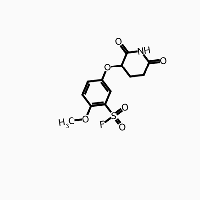 COc1ccc(OC2CCC(=O)NC2=O)cc1S(=O)(=O)F